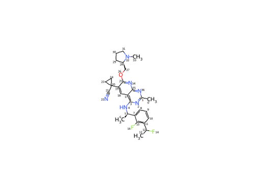 Cc1nc(N[C@H](C)c2cccc(C(C)F)c2F)c2cc(C3(C#N)CC3)c(OC[C@H]3CCCN3C)nc2n1